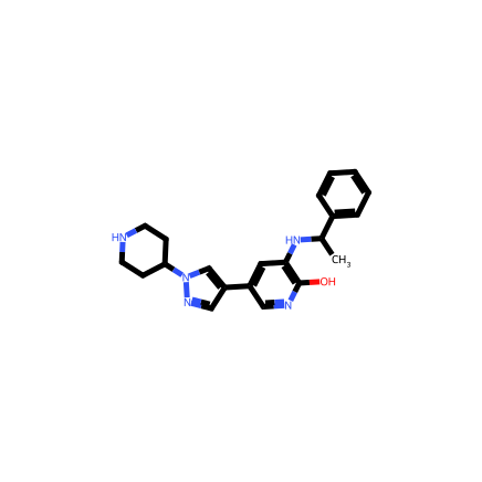 CC(Nc1cc(-c2cnn(C3CCNCC3)c2)cnc1O)c1ccccc1